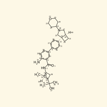 C[C@H]1C2(NC(=O)c3cc(-c4ccc([C@@]56CC[C@@H]5CN(C5CCOCC5)C6)cc4)cnc3N)CC1(C(C)(C)O)C2